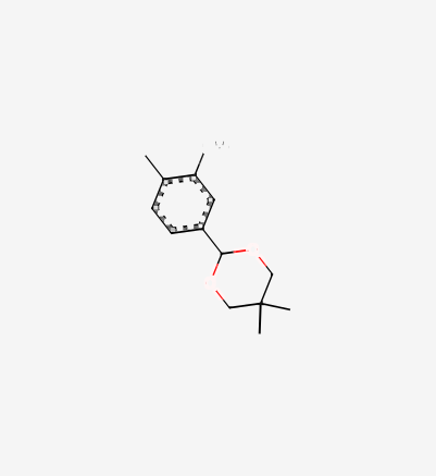 COc1cc(C2OCC(C)(C)CO2)ccc1C